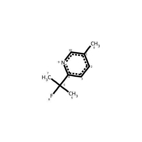 Cc1ccc(C(C)(C)F)nc1